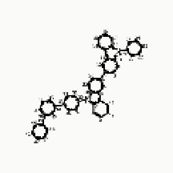 C1=Cc2c(c3cc(-c4ccc5c(c4)c4ccccc4n5-c4ccccc4)ccc3n2-c2ccc(-c3cccc(-c4ccccc4)c3)cc2)CC1